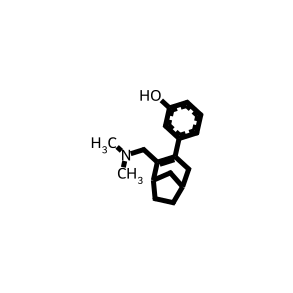 CN(C)CC1=C(c2cccc(O)c2)CC2CCC1C2